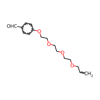 C=CCOCCOCCOCCOc1ccc(C=O)cc1